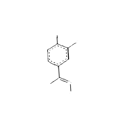 CC(=NO)c1ccc(F)c(F)c1